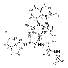 C#Cc1c(F)ccc2cccc(-c3nc4c5c(nc(OC[C@@]67CCCN6C[C@H](F)C7)nc5c3F)N[C@@H]([C@H](CC)NC3CC3)CCC4)c12